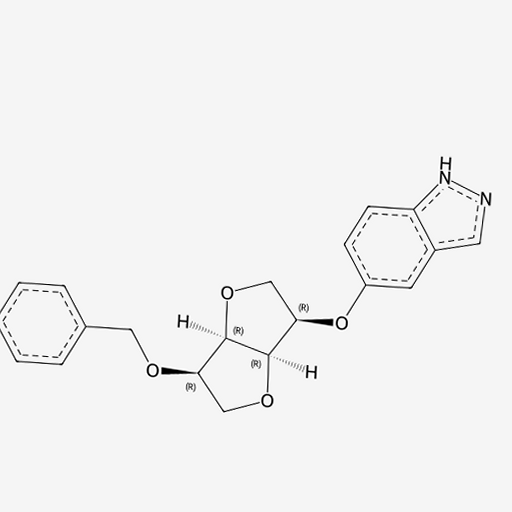 c1ccc(CO[C@@H]2CO[C@H]3[C@@H]2OC[C@H]3Oc2ccc3[nH]ncc3c2)cc1